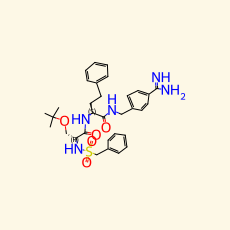 CC(C)(C)OC[C@@H](NS(=O)(=O)Cc1ccccc1)C(=O)N[C@@H](CCc1ccccc1)C(=O)NCc1ccc(C(=N)N)cc1